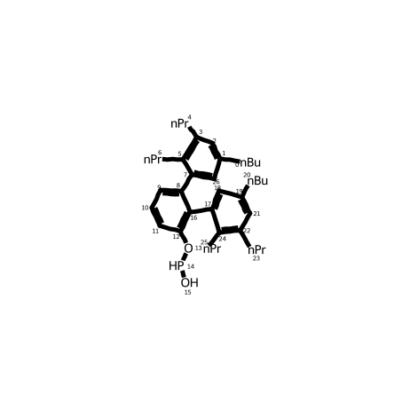 CCCCc1cc(CCC)c(CCC)c(-c2cccc(OPO)c2-c2cc(CCCC)cc(CCC)c2CCC)c1